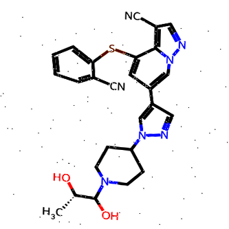 C[C@H](O)C(O)N1CCC(n2cc(-c3cc(Sc4ccccc4C#N)c4c(C#N)cnn4c3)cn2)CC1